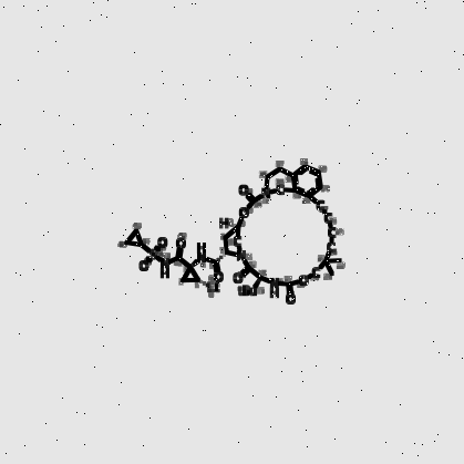 CC[C@@H]1C[C@]1(NC(=O)[C@@H]1C[C@@H]2CN1C(=O)[C@H](C(C)(C)C)NC(=O)OCC(C)(C)CCCCc1cccc3c1CN(CC3)C(=O)O2)C(=O)NS(=O)(=O)C1CC1